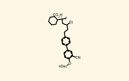 CCCCCCCCCCOc1ccc(-c2ccc(CCC(CC)C[C@@](F)(C(=O)O)C3CCCCC3)cc2)cc1C#N